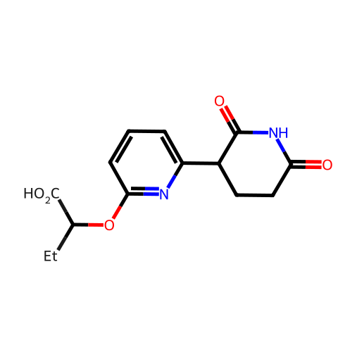 CCC(Oc1cccc(C2CCC(=O)NC2=O)n1)C(=O)O